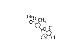 Cc1cc(C(=O)CC(C#N)c2cc(Cl)cc(Cl)c2)ccc1C(=O)OC(C)(C)C